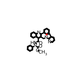 COC(=O)N(NC(=O)c1c(CN2CCc3cccnc32)c(-c2ccccc2)nc2ccccc12)c1ccccc1